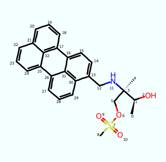 C[C@H](O)[C@@](C)(COS(C)(=O)=O)NCc1ccc2c3cccc4cccc(c5cccc1c52)c43